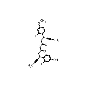 CC#CC(CC(=O)OC(=O)CC(C#CC)c1ccc(OC)cc1F)c1ccc(O)cc1F